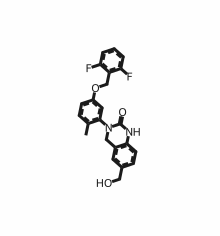 Cc1ccc(OCc2c(F)cccc2F)cc1N1Cc2cc(CO)ccc2NC1=O